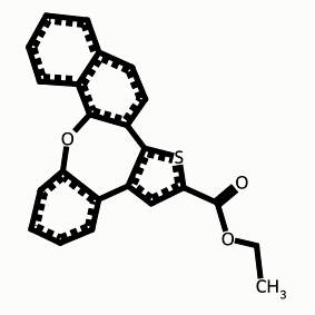 CCOC(=O)c1cc2c(s1)-c1ccc3ccccc3c1Oc1ccccc1-2